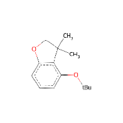 CC(C)(C)Oc1cccc2c1C(C)(C)CO2